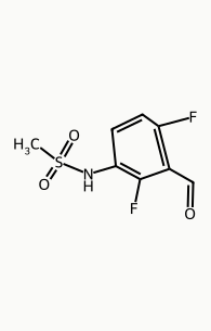 CS(=O)(=O)Nc1ccc(F)c(C=O)c1F